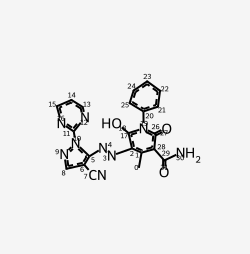 Cc1c(/N=N/c2c(C#N)cnn2-c2ncccn2)c(O)n(-c2ccccc2)c(=O)c1C(N)=O